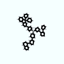 c1ccc(-c2ccccc2-c2cccc(N(c3ccc(-c4cccc(-c5cccc6ccccc56)c4)cc3)c3ccc(-c4ccc5c(c4)C(c4ccccc4)(c4ccccc4)c4ccccc4-5)cc3)c2)cc1